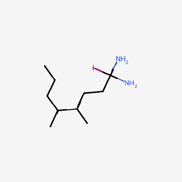 CCCC(C)C(C)CCC(N)(N)I